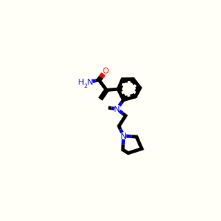 C=C(C(N)=O)c1ccccc1N(C)CCN1CCCC1